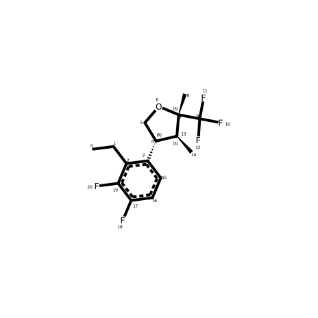 CCc1c([C@@H]2CO[C@](C)(C(F)(F)F)[C@H]2C)ccc(F)c1F